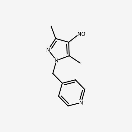 Cc1nn(Cc2ccncc2)c(C)c1N=O